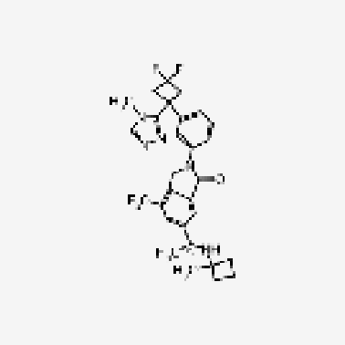 C[C@H](NC1(C)CCC1)c1cc2c(c(C(F)(F)F)c1)CN(c1cccc(C3(c4nncn4C)CC(F)(F)C3)c1)C2=O